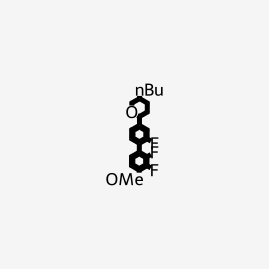 CCCCC1CCC(c2ccc(-c3ccc(OC)c(F)c3F)c(F)c2)OC1